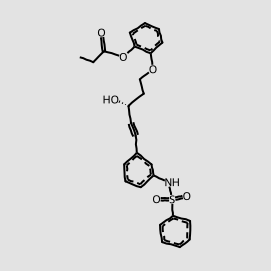 CCC(=O)Oc1ccccc1OCC[C@@H](O)C#Cc1cccc(NS(=O)(=O)c2ccccc2)c1